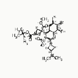 COC(=O)C1(c2c([N+](=O)[O-])c(N3CC(N(C)C)C3)nc3c(F)c(Br)c(I)cc23)CN(C(=O)OC(C)(C)C)C1